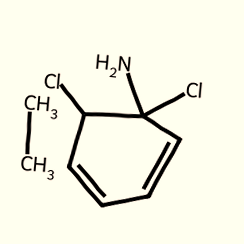 CC.NC1(Cl)C=CC=CC1Cl